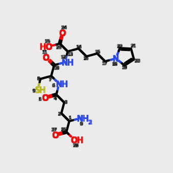 NC(CCC(=O)NC(CS)C(=O)NC(CCCCn1cccc1)C(=O)O)C(=O)O